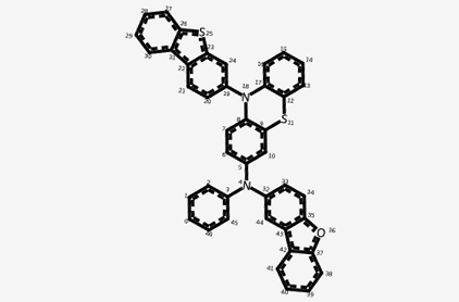 c1ccc(N(c2ccc3c(c2)Sc2ccccc2N3c2ccc3c(c2)sc2ccccc23)c2ccc3oc4ccccc4c3c2)cc1